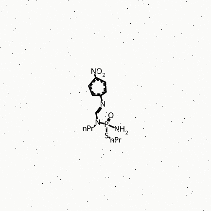 CCCSP(N)(=O)N(C=Nc1ccc([N+](=O)[O-])cc1)CCC